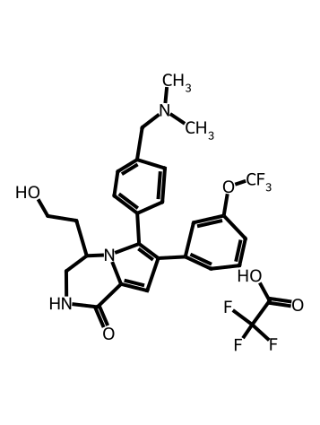 CN(C)Cc1ccc(-c2c(-c3cccc(OC(F)(F)F)c3)cc3n2C(CCO)CNC3=O)cc1.O=C(O)C(F)(F)F